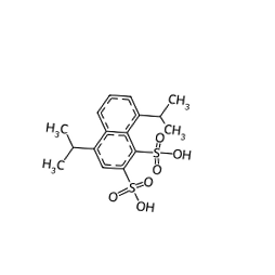 CC(C)c1cc(S(=O)(=O)O)c(S(=O)(=O)O)c2c(C(C)C)cccc12